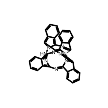 c1ccc2c(c1)-c1nc3c4ccccc4c4nc5[n+]6c(nc7c8ccccc8c(nc-2[n+]16)n7Nn34)-c1ccccc1-5